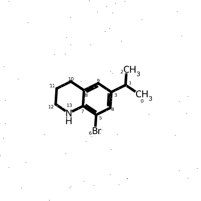 CC(C)c1cc(Br)c2c(c1)CCCN2